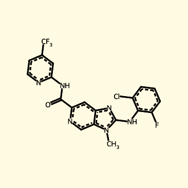 Cn1c(Nc2c(F)cccc2Cl)nc2cc(C(=O)Nc3cc(C(F)(F)F)ccn3)ncc21